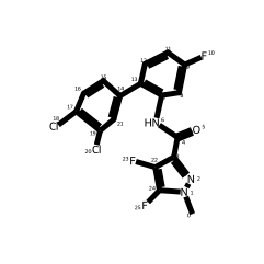 Cn1nc(C(=O)Nc2cc(F)ccc2-c2ccc(Cl)c(Cl)c2)c(F)c1F